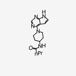 CCCC(=O)NC1CCN(c2ncnc3[nH]ccc23)CC1